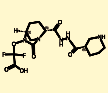 O=C(NNC(=O)[C@H]1CC[C@H]2CN1C(=O)N2OC(F)(F)C(=O)O)[C@@H]1CCCNC1